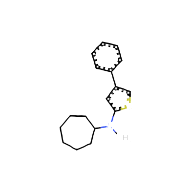 CN(c1cc(-c2ccccc2)cs1)C1CCCCCC1